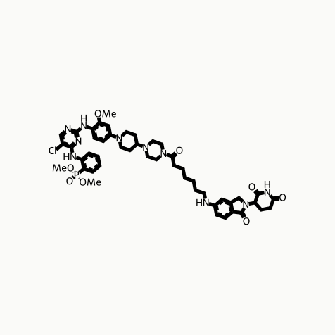 COc1cc(N2CCC(N3CCN(C(=O)CCCCCCNc4ccc5c(c4)CN(C4CCC(=O)NC4=O)C5=O)CC3)CC2)ccc1Nc1ncc(Cl)c(Nc2ccccc2P(=O)(OC)OC)n1